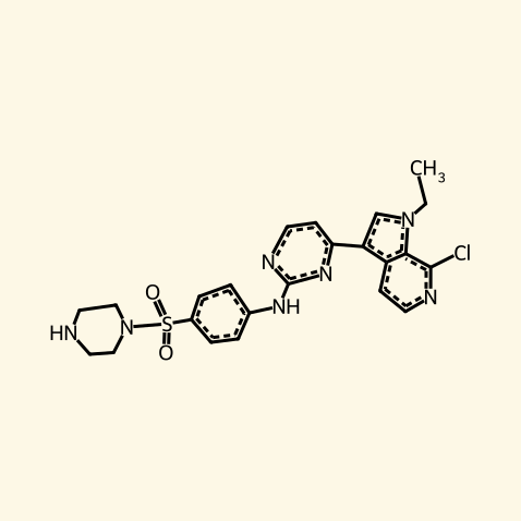 CCn1cc(-c2ccnc(Nc3ccc(S(=O)(=O)N4CCNCC4)cc3)n2)c2ccnc(Cl)c21